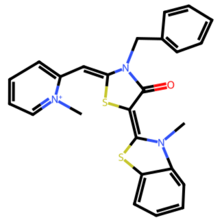 CN1/C(=c2/s/c(=C\c3cccc[n+]3C)n(Cc3ccccc3)c2=O)Sc2ccccc21